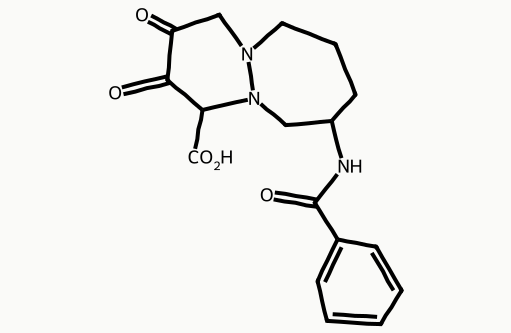 O=C1CN2CCCC(NC(=O)c3ccccc3)CN2C(C(=O)O)C1=O